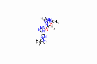 CNC(=O)c1c(NC)ncn1[C@@H](C)C(=O)Nc1cncc(-c2cnc(N3CCCC3(C)C)nc2)n1